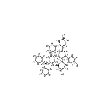 Cc1ccc(-c2cc(-c3ccc(C)cc3)c3c4ccccc4c4cc(N(c5ccccc5)c5ccccc5)ccc4c3c2-c2ccc(C)cc2)cc1